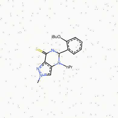 CCCN1c2cn(C)nc2C(=S)[N]C1c1ccccc1OCC(C)C